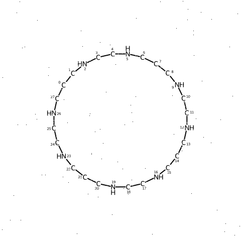 C1CNCCNCCCNCCNCCCNCCNCCCNCCNC1